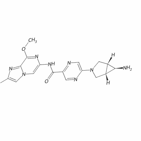 COc1nc(NC(=O)c2cnc(N3C[C@@H]4[C@@H](N)[C@@H]4C3)cn2)cn2cc(C)nc12